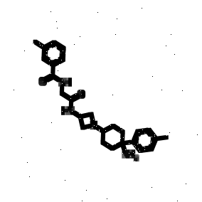 Cc1ccc(C2(N)CCC(N3CC(NC(=O)CNC(=O)c4cccc(C)c4)C3)CC2)cc1